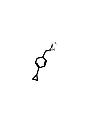 CNCC1C=CC(C2CC2)=CC1